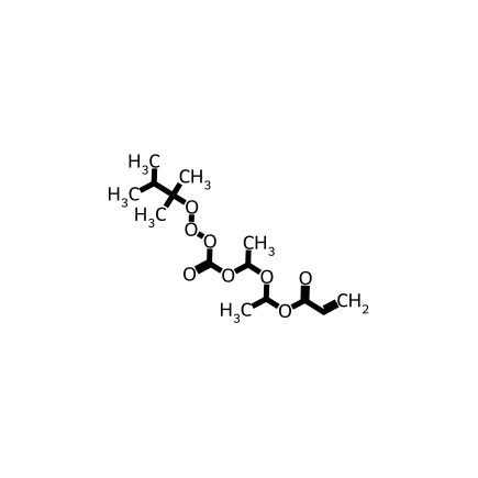 C=CC(=O)OC(C)OC(C)OC(=O)OOOC(C)(C)C(C)C